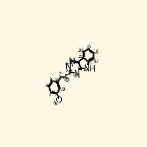 COc1cccc(CSc2nnc3c(n2)[nH]c2ccccc23)c1